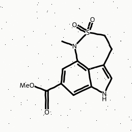 COC(=O)c1cc2c3c(c[nH]c3c1)CCS(=O)(=O)N2C